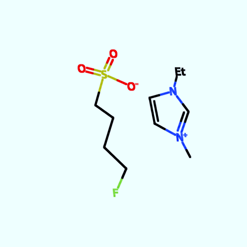 CCn1cc[n+](C)c1.O=S(=O)([O-])CCCCF